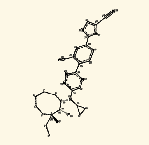 CC[C@]1(C)CCCCC[C@H](N(c2cnc(-c3ccc(-c4ncc(C#N)s4)cc3O)nn2)C2CC2)[C@@H]1F